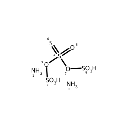 N.N.O=S(=O)(O)OS(=O)(=S)OS(=O)(=O)O